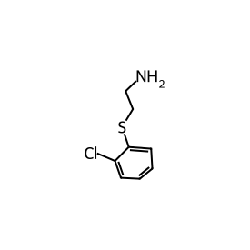 NCCSc1ccccc1Cl